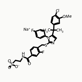 COc1cc(C(C)(C)c2cnc(SCc3ccc(C(=O)NCCS(=O)(=O)[O-])cc3F)n2-c2ccc(F)cc2)ccc1Cl.[Na+]